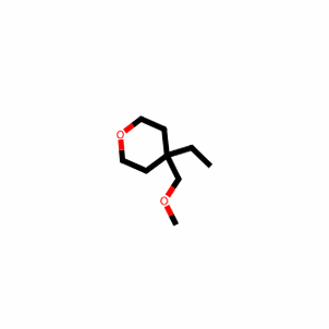 CCC1(COC)CCOCC1